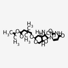 CC(C)OC(=O)CC(C)(C)CO[C@H]1C[C@@H]2[C@@H](CO1)O[C@@H](n1ccc(=O)[nH]c1=O)[C@]2(C)N